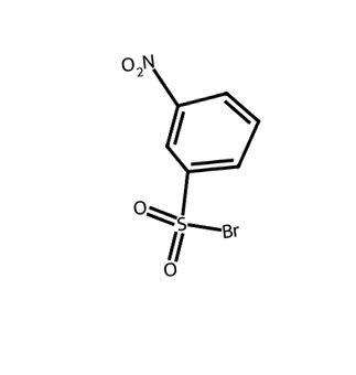 O=[N+]([O-])c1cccc(S(=O)(=O)Br)c1